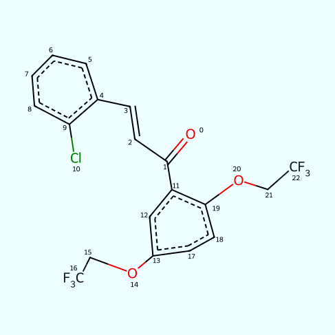 O=C(C=Cc1ccccc1Cl)c1cc(OCC(F)(F)F)ccc1OCC(F)(F)F